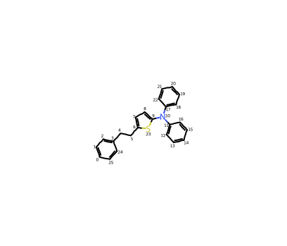 c1ccc(CCc2ccc(N(c3ccccc3)c3ccccc3)s2)cc1